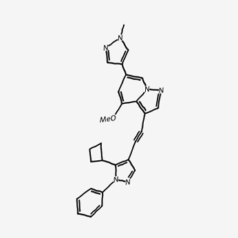 COc1cc(-c2cnn(C)c2)cn2ncc(C#Cc3cnn(-c4ccccc4)c3C3CCC3)c12